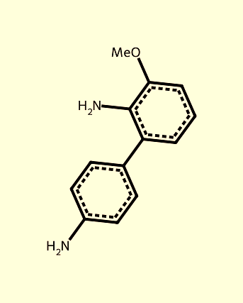 COc1cccc(-c2ccc(N)cc2)c1N